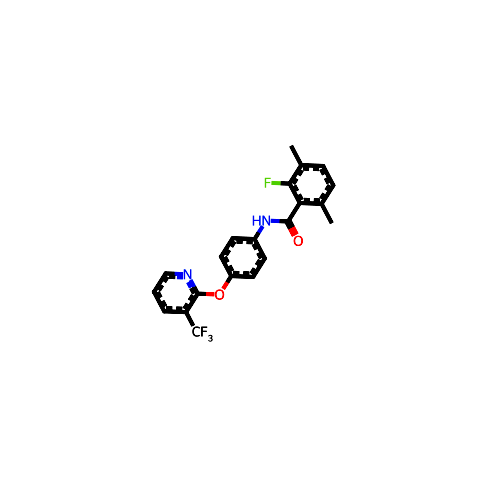 Cc1ccc(C)c(C(=O)Nc2ccc(Oc3ncccc3C(F)(F)F)cc2)c1F